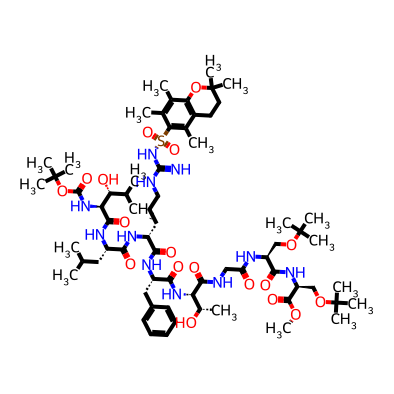 COC(=O)[C@H](COC(C)(C)C)NC(=O)[C@H](COC(C)(C)C)NC(=O)CNC(=O)[C@@H](NC(=O)[C@H](Cc1ccccc1)NC(=O)[C@@H](CCCNC(=N)NS(=O)(=O)c1c(C)c(C)c2c(c1C)CCC(C)(C)O2)NC(=O)[C@H](CC(C)C)NC(=O)[C@@H](NC(=O)OC(C)(C)C)[C@H](O)C(C)C)[C@H](C)O